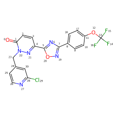 O=c1ccc(-c2nc(-c3ccc(OC(F)(F)F)cc3)no2)nn1Cc1ccnc(Cl)c1